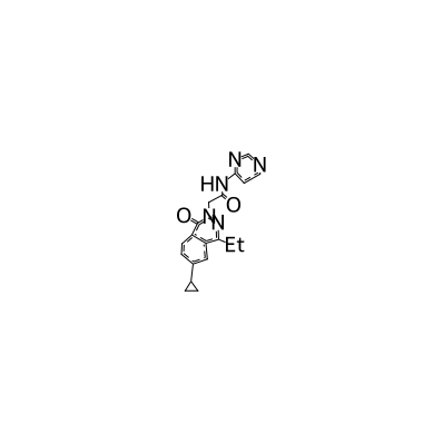 CCc1nn(CC(=O)Nc2ccncn2)c(=O)c2ccc(C3CC3)cc12